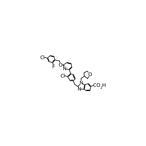 O=C(O)c1ccc2nc(Cc3ccc(-c4cccc(OCc5ccc(Cl)cc5F)n4)c(Cl)c3)n(CC3CCOC3)c2c1